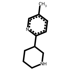 Cc1ccc(C2CCCNC2)nc1